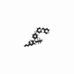 CCCc1cnc2c(c1)nc(C(F)(F)C(F)(F)F)n2-c1ccc(OC2CCN(CC3CCOCC3)CC2)cc1